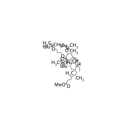 COC(=O)CCC[C@@H](C)[C@H]1CC[C@H]2C3=CC=C4C[C@@H](O[Si](C)(C)C(C)(C)C)[C@@H](OCCCO[Si](C)(C)C(C)(C)C)[C@H](O[Si](C)(C)C(C)(C)C)[C@]4(C)[C@H]3CC[C@]12C